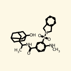 CNc1ccc(C(=O)NC(C)C23CC4CC(CC(O)(C4)C2)C3)cc1S(=O)(=O)N1Cc2ccccc2C1